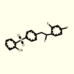 N#Cc1ccccc1S(=O)(=O)c1ccc(CC(F)c2ccc(F)cc2F)cc1